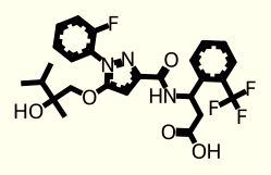 CC(C)C(C)(O)COc1cc(C(=O)NC(CC(=O)O)c2ccccc2C(F)(F)F)nn1-c1ccccc1F